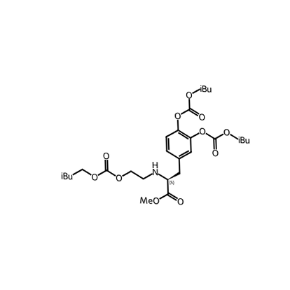 CCC(C)COC(=O)OCCN[C@@H](Cc1ccc(OC(=O)OC(C)CC)c(OC(=O)OC(C)CC)c1)C(=O)OC